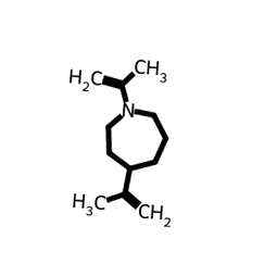 C=C(C)C1CCCN(C(=C)C)CC1